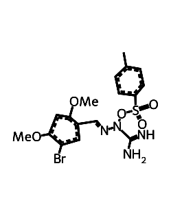 COc1cc(OC)c(C=NN(OS(=O)(=O)c2ccc(C)cc2)C(=N)N)cc1Br